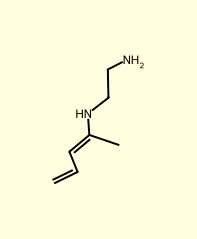 C=C/C=C(\C)NCCN